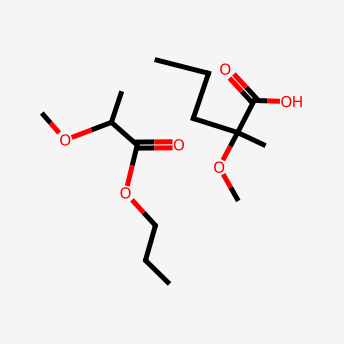 CCCC(C)(OC)C(=O)O.CCCOC(=O)C(C)OC